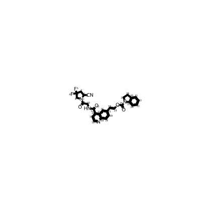 N#CC1CC(F)(F)CN1C(=O)CNC(=O)c1ccnc2ccc(C=COC(=O)N3CCc4ccccc43)cc12